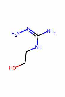 N/N=C(/N)NCCO